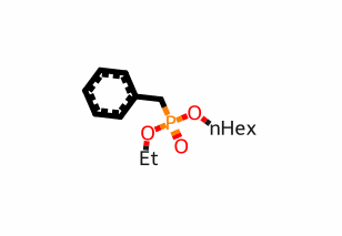 CCCCCCOP(=O)(Cc1ccccc1)OCC